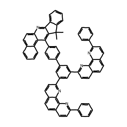 CC1(C)c2ccccc2-c2nc3ccc4ccccc4c3c(-c3ccc(-c4cc(-c5ccc6ccc7ccc(-c8ccccc8)nc7c6n5)cc(-c5ccc6ccc7ccc(-c8ccccc8)nc7c6n5)c4)cc3)c21